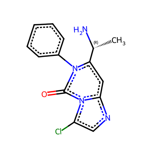 C[C@@H](N)c1cc2ncc(Cl)n2c(=O)n1-c1ccccc1